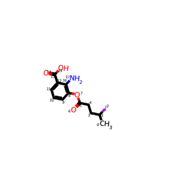 CC(I)CCC(=O)Oc1cccc(C(=O)O)c1N